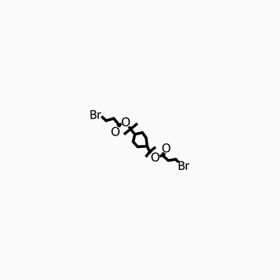 CC(C)(OC(=O)CCBr)C1CCC(C(C)(C)OC(=O)CCBr)CC1